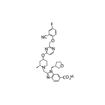 C[C@H]1C[C@@H](Oc2ccnc(COc3ccc(F)cc3C#N)n2)CCN1Cc1nc2ccc(C(=O)O)cc2n1C[C@H]1CCOC1